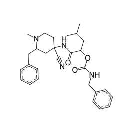 CC(C)CC(OC(=O)NCc1ccccc1)C(=O)NC1(C#N)CCN(C)C(Cc2ccccc2)C1